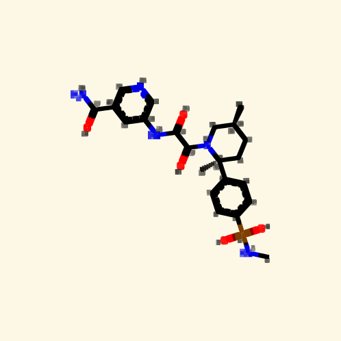 CNS(=O)(=O)c1ccc([C@]2(C)CC[C@H](C)CN2C(=O)C(=O)Nc2cncc(C(N)=O)c2)cc1